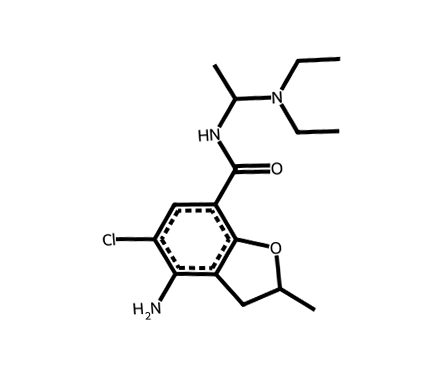 CCN(CC)C(C)NC(=O)c1cc(Cl)c(N)c2c1OC(C)C2